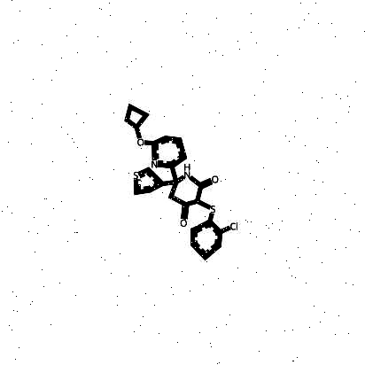 O=C1CC(c2ccsc2)(c2cccc(OC3CCC3)n2)NC(=O)C1Sc1ccccc1Cl